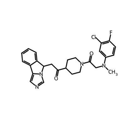 CN(CC(=O)N1CCC(C(=O)CC2c3ccccc3-c3cncn32)CC1)c1ccc(F)c(Cl)c1